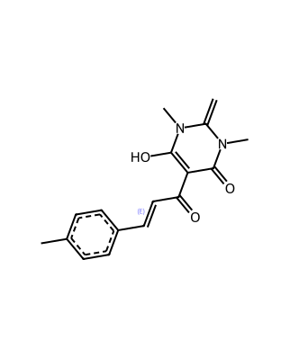 C=C1N(C)C(=O)C(C(=O)/C=C/c2ccc(C)cc2)=C(O)N1C